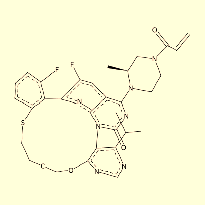 C=CC(=O)N1CCN(c2nc(=O)n3c4nc(c(F)cc24)-c2c(F)cccc2SCCCCOc2ncnc(C(C)C)c2-3)[C@@H](C)C1